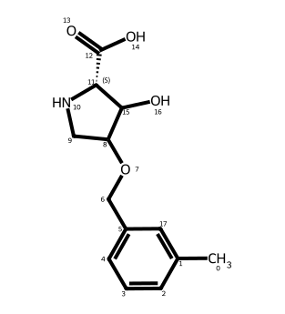 Cc1cccc(COC2CN[C@H](C(=O)O)C2O)c1